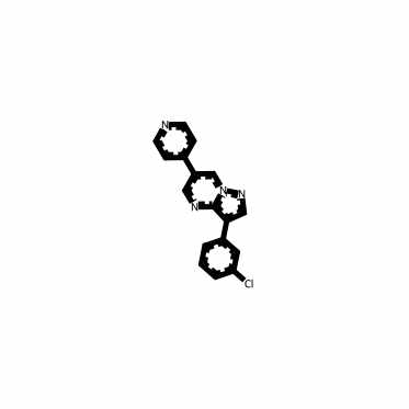 Clc1cccc(-c2cnn3cc(-c4ccncc4)cnc23)c1